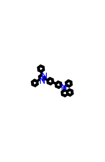 c1ccc(-c2cc(-c3ccccc3)nc(-c3ccc(-c4ccc(N(c5ccccc5)c5cccc6ccccc56)cc4)cc3)n2)cc1